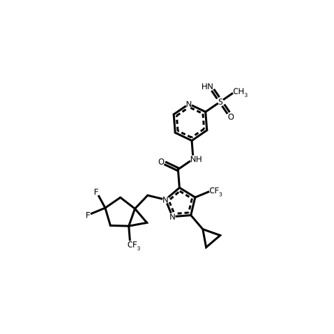 CS(=N)(=O)c1cc(NC(=O)c2c(C(F)(F)F)c(C3CC3)nn2CC23CC(F)(F)CC2(C(F)(F)F)C3)ccn1